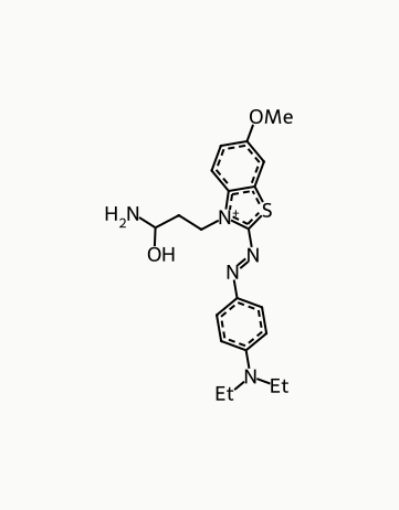 CCN(CC)c1ccc(N=Nc2sc3cc(OC)ccc3[n+]2CCC(N)O)cc1